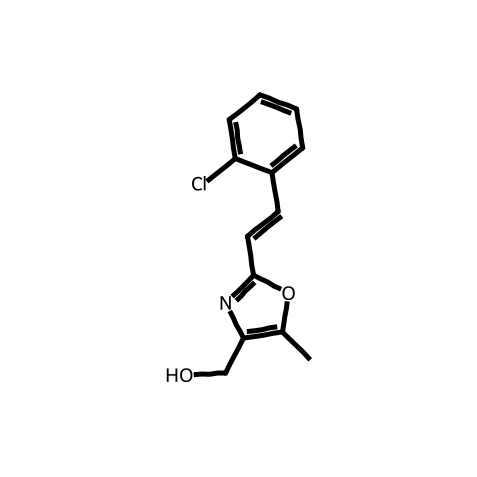 Cc1oc(C=Cc2ccccc2Cl)nc1CO